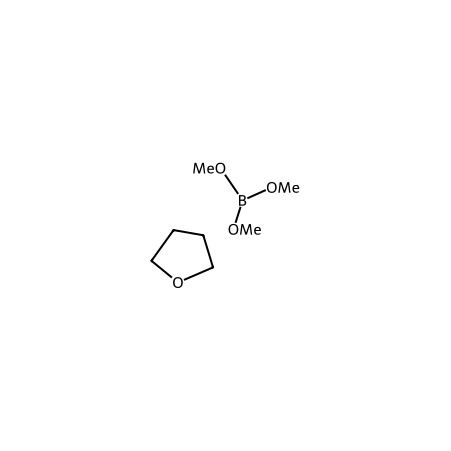 C1CCOC1.COB(OC)OC